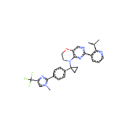 CC(C)c1ncccc1-c1ncc2c(n1)N(C1(c3ccc(-c4nc(C(F)(F)F)cn4C)cc3)CC1)CCO2